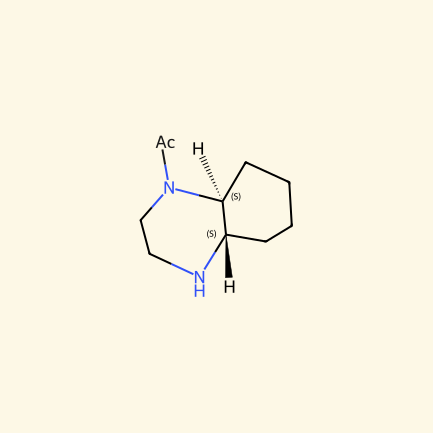 CC(=O)N1CCN[C@H]2CCCC[C@@H]21